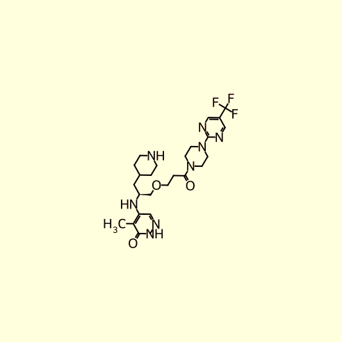 Cc1c(N[C@H](COCCC(=O)N2CCN(c3ncc(C(F)(F)F)cn3)CC2)CC2CCNCC2)cn[nH]c1=O